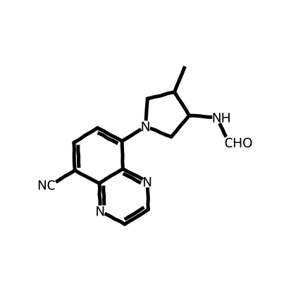 CC1CN(c2ccc(C#N)c3nccnc23)CC1NC=O